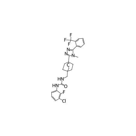 Cn1c(-c2ccccc2C(F)(F)F)nnc1C12CCC(CNC(=O)Nc3cccc(Cl)c3F)(CC1)CC2